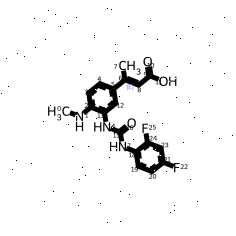 CNc1ccc(/C(C)=C/C(=O)O)cc1NC(=O)Nc1ccc(F)cc1F